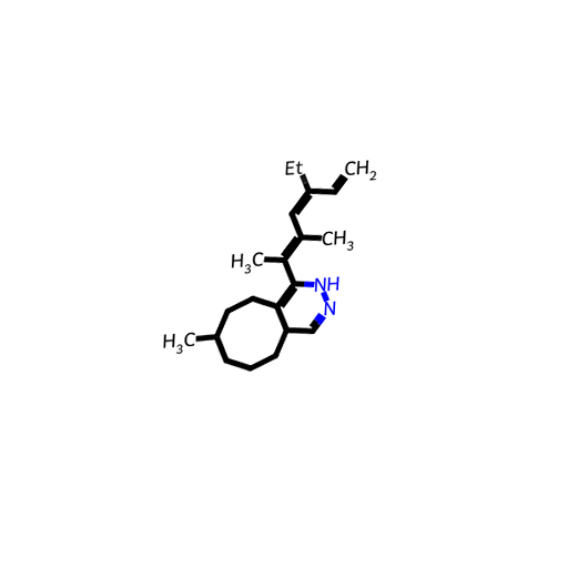 C=C/C(=C\C(C)=C(/C)C1=C2CCC(C)CCCC2C=NN1)CC